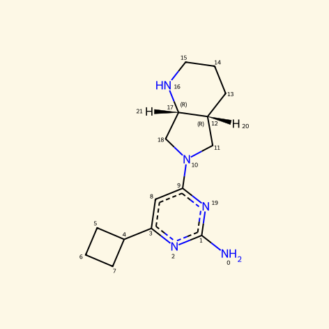 Nc1nc(C2CCC2)cc(N2C[C@H]3CCCN[C@H]3C2)n1